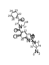 CN(C)[C@@H]1CCN(/[SH](=O)=N/c2ccc(C(=O)N3CCO[C@@H](c4ccccc4)C3)c(Cl)c2)C1